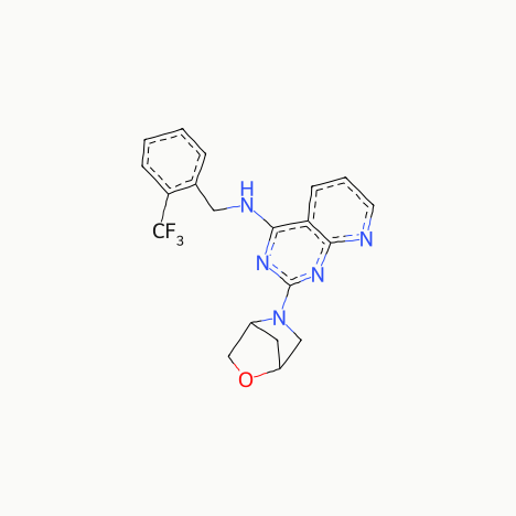 FC(F)(F)c1ccccc1CNc1nc(N2CC3CC2CO3)nc2ncccc12